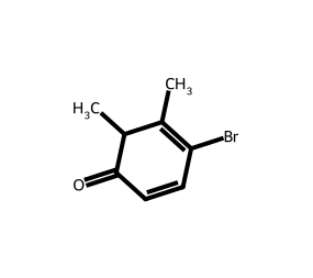 CC1=C(Br)C=CC(=O)C1C